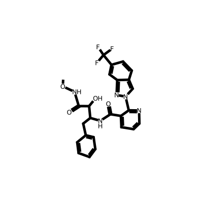 CONC(=O)C(O)C(Cc1ccccc1)NC(=O)c1cccnc1-n1cc2ccc(C(F)(F)F)cc2n1